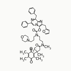 CC1=C(C)C(=O)C(C(C)(C)CC(=O)N(C)CCCN(CCCN2CCOCC2)C(=O)Oc2c(Cc3ccco3)nc3c(Cc4ccccc4)nc(-c4ccccc4)cn23)=C(C)C1=O